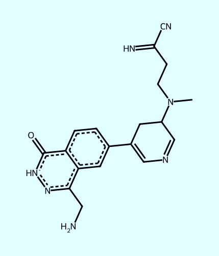 CN(CCC(=N)C#N)C1C=NC=C(c2ccc3c(=O)[nH]nc(CN)c3c2)C1